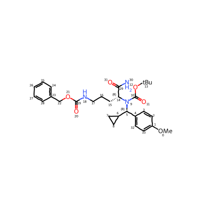 COc1ccc([C@@H](C2CC2)N(C(=O)OC(C)(C)C)[C@H](CCCNC(=O)OCc2ccccc2)C(N)=O)cc1